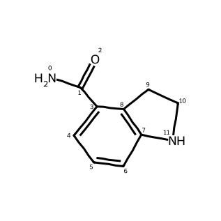 NC(=O)c1cccc2c1CCN2